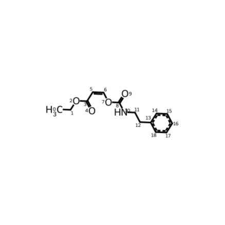 CCOC(=O)/C=C\OC(=O)NCCc1ccccc1